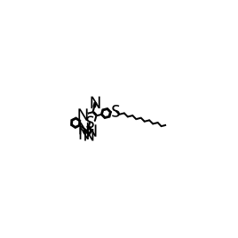 CCCCCCCCCCCCSc1ccc(C(CSc2nnnn2-c2ccccc2)=C(C#N)C#N)cc1